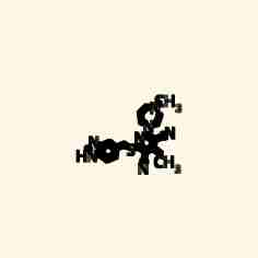 CCc1c(C#N)c(SCc2ccc3[nH]cnc3c2)nc(N2CCCN(C)CC2)c1C#N